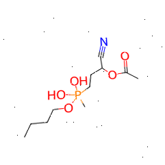 CCCCOP(C)(O)(O)CCC(C#N)OC(C)=O